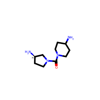 NC1CCN(C(=O)N2CC[C@@H](N)C2)CC1